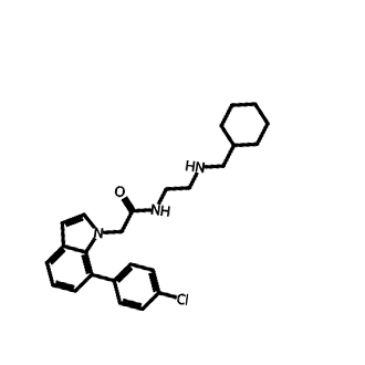 O=C(Cn1ccc2cccc(-c3ccc(Cl)cc3)c21)NCCNCC1CCCCC1